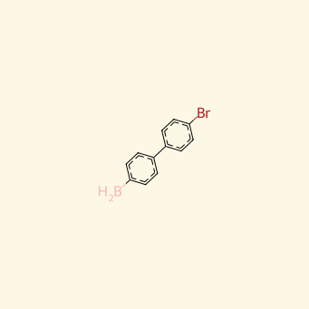 Bc1ccc(-c2ccc(Br)cc2)cc1